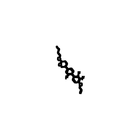 C=CCOc1ccc(-c2ccc(C3CCC(OCCCC)OC3)cc2F)c(F)c1F